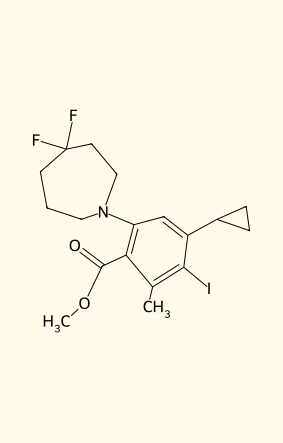 COC(=O)c1c(N2CCCC(F)(F)CC2)cc(C2CC2)c(I)c1C